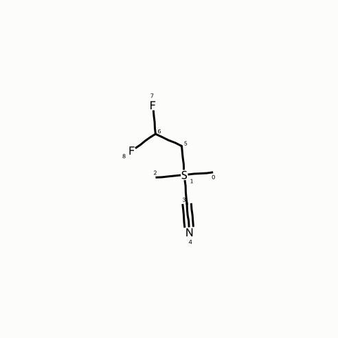 CS(C)(C#N)CC(F)F